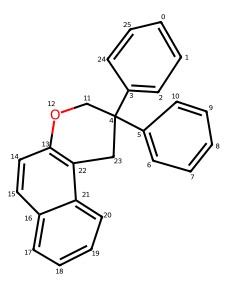 c1ccc(C2(c3ccccc3)COc3ccc4ccccc4c3C2)cc1